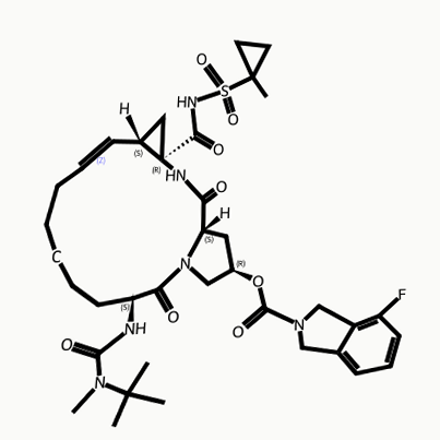 CN(C(=O)N[C@H]1CCCCC/C=C\[C@@H]2C[C@@]2(C(=O)NS(=O)(=O)C2(C)CC2)NC(=O)[C@@H]2C[C@@H](OC(=O)N3Cc4cccc(F)c4C3)CN2C1=O)C(C)(C)C